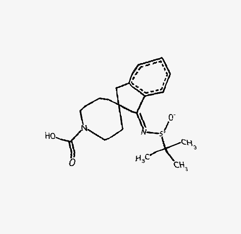 CC(C)(C)[S+]([O-])N=C1c2ccccc2CC12CCN(C(=O)O)CC2